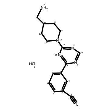 Cl.N#Cc1cccc(-c2ncnc(N3CCC(CN)CC3)n2)c1